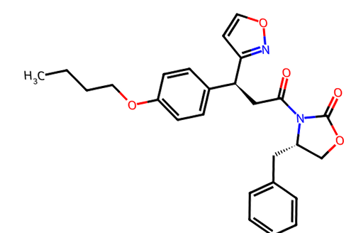 CCCCOc1ccc([C@H](CC(=O)N2C(=O)OC[C@@H]2Cc2ccccc2)c2ccon2)cc1